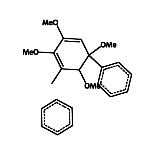 COC1=CC(OC)(c2ccccc2)C(OC)C(C)=C1OC.c1ccccc1